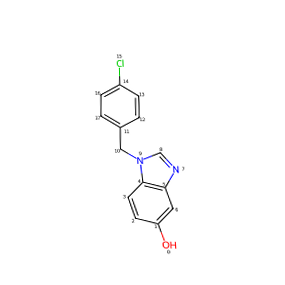 Oc1ccc2c(c1)ncn2Cc1ccc(Cl)cc1